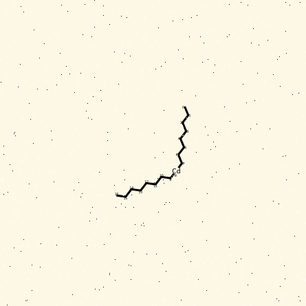 CCCCCCC[CH2][Cd][CH2]CCCCCCC